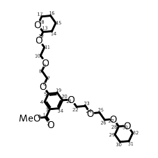 COC(=O)c1cc(OCCOCCOC2CCCCO2)cc(OCCOCCOC2CCCCO2)c1